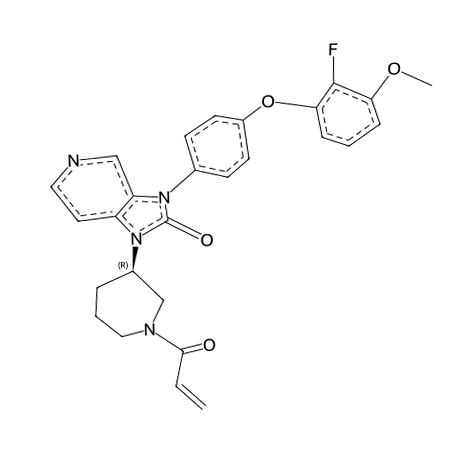 C=CC(=O)N1CCC[C@@H](n2c(=O)n(-c3ccc(Oc4cccc(OC)c4F)cc3)c3cnccc32)C1